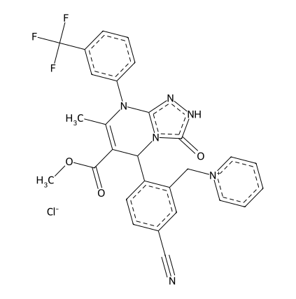 COC(=O)C1=C(C)N(c2cccc(C(F)(F)F)c2)c2n[nH]c(=O)n2C1c1ccc(C#N)cc1C[n+]1ccccc1.[Cl-]